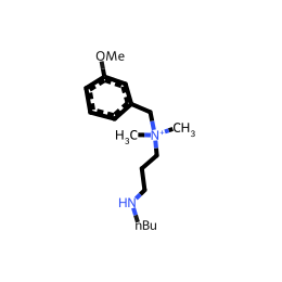 CCCCNCCC[N+](C)(C)Cc1cccc(OC)c1